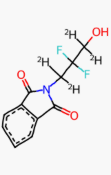 [2H]C([2H])(O)C(F)(F)C([2H])([2H])N1C(=O)c2ccccc2C1=O